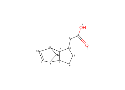 O=C(O)CC1CCC2C3C=CC(C3)C12